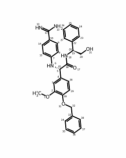 COc1cc([C@H](Nc2ccc(C(=N)N)cc2)C(=O)N[C@H](CO)c2ccccc2)ccc1OCc1ccccc1